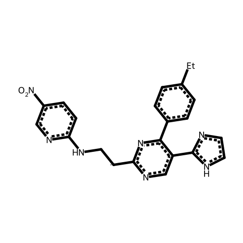 CCc1ccc(-c2nc([CH]CNc3ccc([N+](=O)[O-])cn3)ncc2-c2ncc[nH]2)cc1